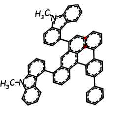 Cn1c2ccccc2c2c(-c3cccc4c(-c5cc(-c6ccccc6)ccc5-c5ccccc5)c5cccc(-c6cccc7c6c6ccccc6n7C)c5cc34)cccc21